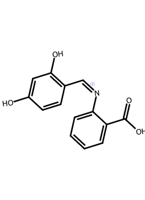 O=C(O)c1ccccc1/N=C\c1ccc(O)cc1O